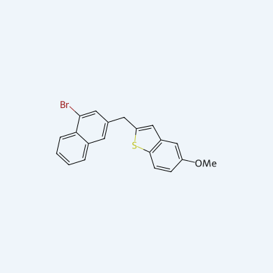 COc1ccc2sc(Cc3cc(Br)c4ccccc4c3)cc2c1